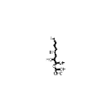 [2H]CCCNCC(O)C(O)OC(O)C=O